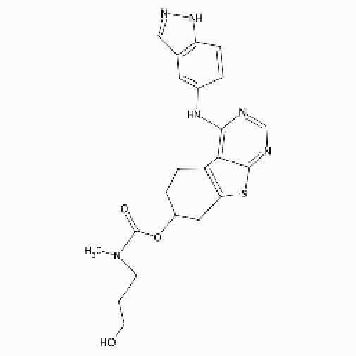 CN(CCCO)C(=O)OC1CCc2c(sc3ncnc(Nc4ccc5[nH]ncc5c4)c23)C1